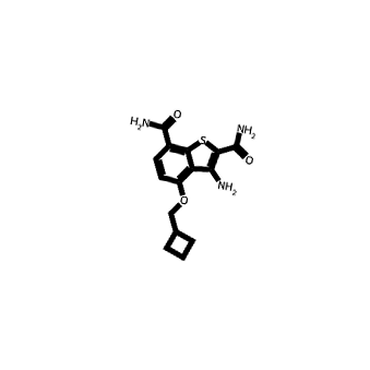 NC(=O)c1sc2c(C(N)=O)ccc(OCC3CCC3)c2c1N